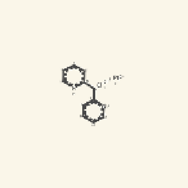 [Cl-].[Cl-].[Pt+2].c1ccc(Cc2ccccn2)nc1